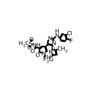 Cc1cc(C(F)(F)F)nn1-c1nc(Nc2ccc(F)c(Cl)c2)ncc1-c1cc(C(=O)NS(C)(=O)=O)c(=O)n(C)c1